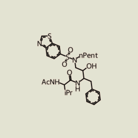 CCCCCN(CC(O)C(Cc1ccccc1)NC(=O)C(NC(C)=O)C(C)C)S(=O)(=O)c1ccc2ncsc2c1